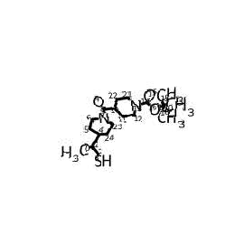 CC(CS)C1CCN(C(=O)C2CCN(C(=O)OC(C)(C)C)CC2)CC1